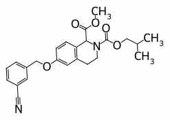 COC(=O)C1c2ccc(OCc3cccc(C#N)c3)cc2CCN1C(=O)OCC(C)C